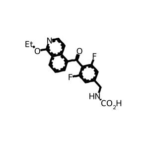 CCOc1nccc2c(C(=O)c3c(F)cc(CNC(=O)O)cc3F)cccc12